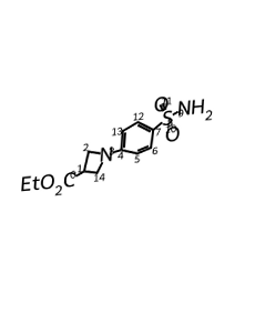 CCOC(=O)C1CN(c2ccc(S(N)(=O)=O)cc2)C1